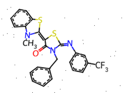 CN1C(=C2SC(=Nc3cccc(C(F)(F)F)c3)N(Cc3ccccc3)C2=O)Sc2ccccc21